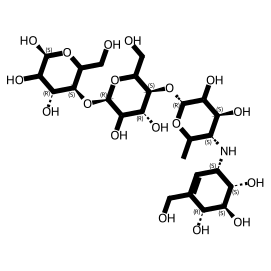 CC1O[C@H](O[C@@H]2C(CO)O[C@H](O[C@@H]3C(CO)O[C@H](O)C(O)[C@H]3O)C(O)[C@H]2O)C(O)[C@@H](O)[C@@H]1N[C@H]1C=C(CO)[C@@H](O)[C@H](O)[C@H]1O